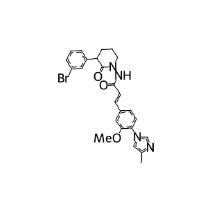 COc1cc(C=CC(=O)NN2CCCC(c3cccc(Br)c3)C2=O)ccc1-n1cnc(C)c1